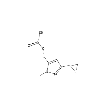 Cn1nc(C2CC2)cc1COS(=O)O